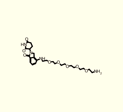 NCCOCCOCCOCCOCCOCCNc1cccc2c1CN(C1CCC(=O)NC1=O)C2=O